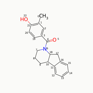 Cc1cc(C(=O)N2CCCC3c4ccccc4CC32)ccc1O